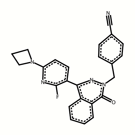 N#Cc1ccc(Cn2nc(-c3ccc(N4CCC4)nc3F)c3ccccc3c2=O)cc1